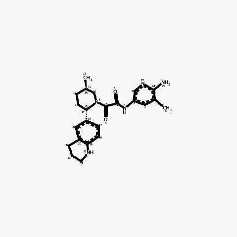 Cc1cc(NC(=O)C(=O)N2C[C@H](C)CC[C@H]2c2ccc3c(c2)CCCN3)cnc1N